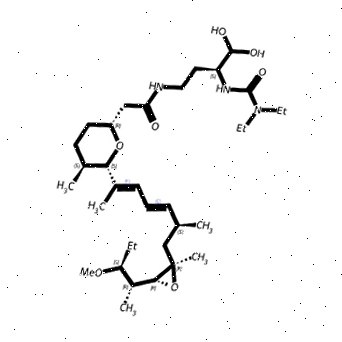 CC[C@H](OC)[C@@H](C)[C@H]1O[C@]1(C)C[C@H](C)/C=C/C=C(\C)[C@H]1O[C@@H](CC(=O)NCC[C@H](NC(=O)N(CC)CC)C(O)O)CC[C@@H]1C